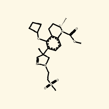 COC(=O)N1c2ccc(C3(C)C=NN(CCS(C)(=O)=O)C3)c(OC3CCC3)c2CC[C@@H]1C